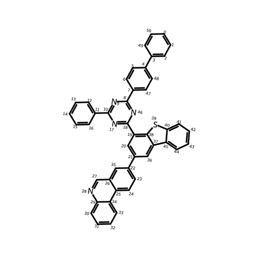 c1ccc(-c2ccc(-c3nc(-c4ccccc4)nc(-c4cc(-c5ccc6c(cnc7ccccc76)c5)cc5c4sc4ccccc45)n3)cc2)cc1